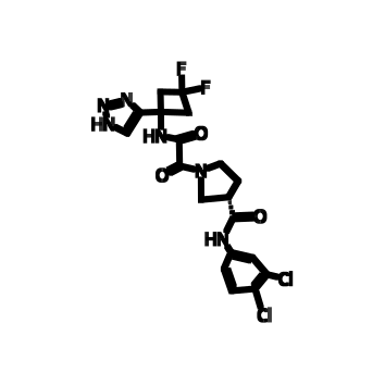 O=C(NC1(c2c[nH]nn2)CC(F)(F)C1)C(=O)N1CC[C@H](C(=O)Nc2ccc(Cl)c(Cl)c2)C1